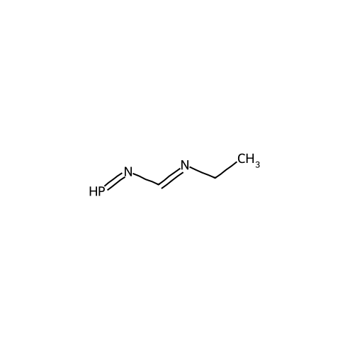 CCN=CN=P